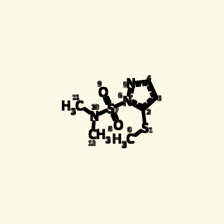 CSc1ccnn1S(=O)(=O)N(C)C